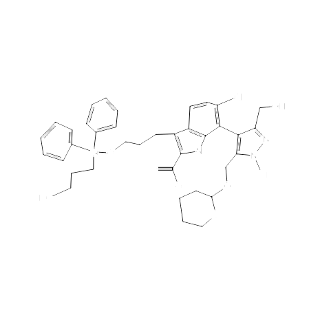 CCCC[Si](OCCCc1c(C(=O)O)[nH]c2c(-c3c(CO)nn(C)c3COC3CCCCO3)c(Cl)ccc12)(c1ccccc1)c1ccccc1